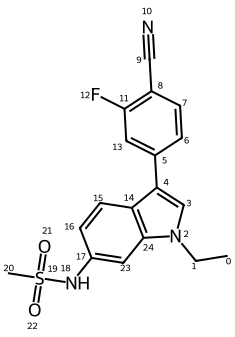 CCn1cc(-c2ccc(C#N)c(F)c2)c2ccc(NS(C)(=O)=O)cc21